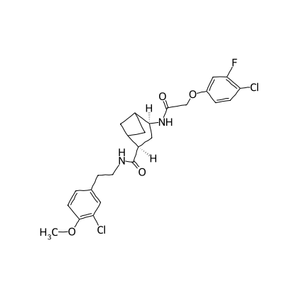 COc1ccc(CCNC(=O)[C@@H]2C[C@H](NC(=O)COc3ccc(Cl)c(F)c3)C3CC2C3)cc1Cl